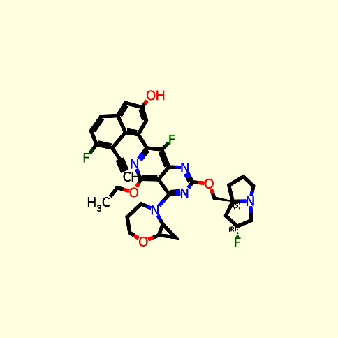 C#Cc1c(F)ccc2cc(O)cc(-c3nc(OCC)c4c(N5CCCOC6CC65)nc(OC[C@@]56CCCN5C[C@H](F)C6)nc4c3F)c12